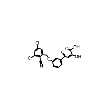 N#Cc1c(Cl)cc(Cl)cc1COc1cccc(C(=O)/C=C(/O)C(=O)O)c1